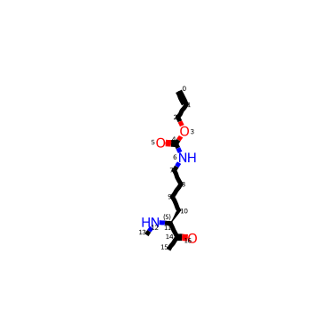 C=CCOC(=O)NCCCC[C@H](NC)C(C)=O